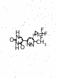 Cc1nnc(-c2c[nH]c(=O)[nH]c2=O)cc1[C@@H]1C[C@H]1C(F)(F)F